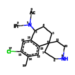 CC(=O)N(C(C)C)C1CCC2(CCNCC2)c2cc(C)c(Cl)cc21